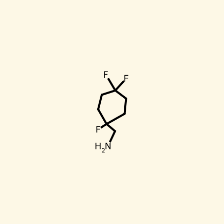 NCC1(F)CCC(F)(F)CC1